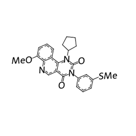 COc1cccc2c1ncc1c(=O)n(-c3cccc(SC)c3)c(=O)n(C3CCCC3)c12